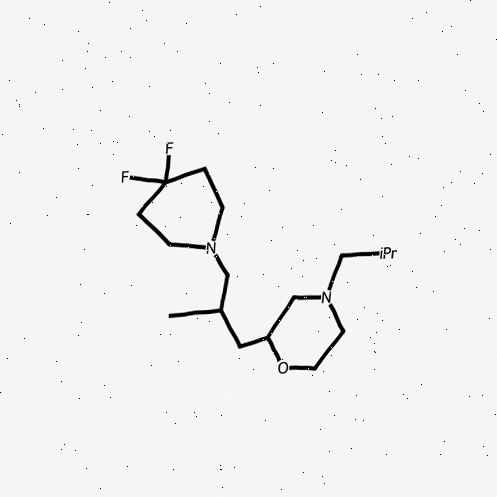 CC(C)CN1CCOC(CC(C)CN2CCC(F)(F)CC2)C1